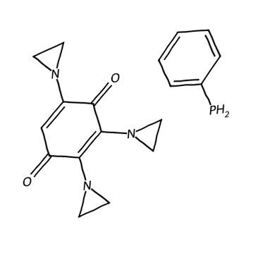 O=C1C=C(N2CC2)C(=O)C(N2CC2)=C1N1CC1.Pc1ccccc1